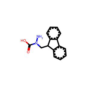 NN(CC1c2ccccc2-c2ccccc21)C(=O)O